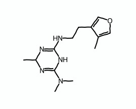 Cc1cocc1CCNC1=NC(C)N=C(N(C)C)N1